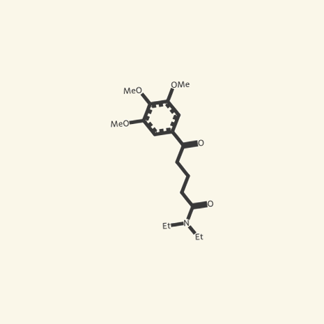 CCN(CC)C(=O)CCCC(=O)c1cc(OC)c(OC)c(OC)c1